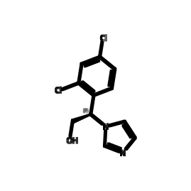 OC[C@@H](c1ccc(Cl)cc1Cl)n1ccnc1